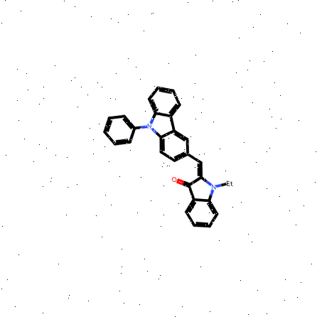 CCN1/C(=C/c2ccc3c(c2)c2ccccc2n3-c2ccccc2)C(=O)c2ccccc21